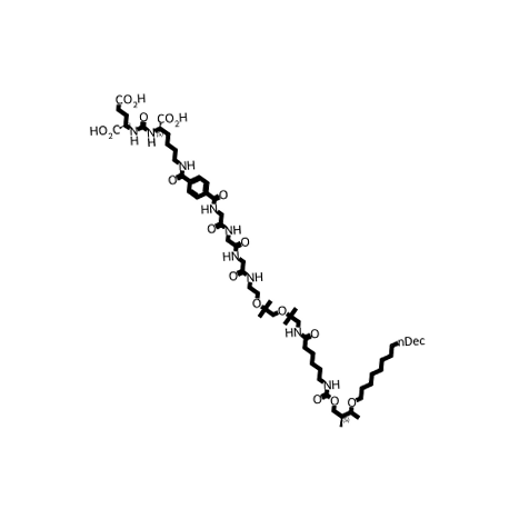 CCCCCCCCCCCCCCCCCCOC(C)[C@@H](C)COC(=O)NCCCCCC(=O)NCC(C)(C)OCC(C)(C)OCCNC(=O)CNC(=O)CNC(=O)CNC(=O)c1ccc(C(=O)NCCCC[C@H](NC(=O)N[C@@H](CCC(=O)O)C(=O)O)C(=O)O)cc1